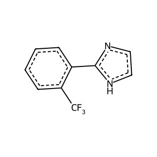 FC(F)(F)c1ccccc1-c1ncc[nH]1